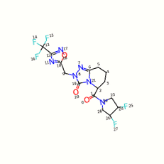 O=C(C1CCCc2nn(Cc3nc(C(F)(F)F)no3)c(=O)n21)N1CC(F)C(F)C1